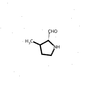 CC1CCN[C@H]1C=O